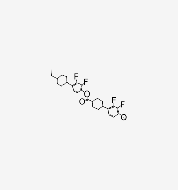 CCC1CCC(c2ccc(OC(=O)C3CCC(c4ccc(OC)c(F)c4F)CC3)c(F)c2F)CC1